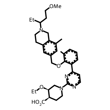 CCO[C@H]1CN(c2nccc(-c3cccc(C)c3OCc3cc(C)c4c(c3)CCN(C(CC)CCOC)C4)n2)CC[C@H]1C(=O)O